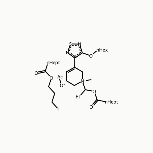 CC(=O)[O-].CCCCCCCC(=O)OC(CC)[N+]1(C)CCC=C(c2nsnc2OCCCCCC)C1.CCCCCCCC(=O)OCCCI